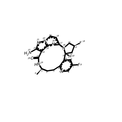 C[C@@H]1CCc2ncc(F)cc2[C@H]2C[C@H](F)CN2c2ccn3nc(N)c(c3n2)C(=O)N1